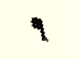 CCCCCCc1cc2ccc3c[c]cc4ccc(c1)c2c34